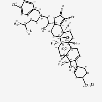 CCOC(=O)C1CC=C(C2=CC[C@]3(C)[C@H]4CC[C@@H]5C6=C(C(C)C)C(=O)C[C@]6(C(O)CN(CCN(C)C)Cc6ccc(Cl)cc6)CC[C@@]5(C)[C@]4(C)CC[C@H]3C2(C)C)CC1